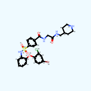 O=C(CNC(=O)c1ccc(S(=O)(=O)Nc2ccccc2Oc2ccc(Br)cc2Cl)cc1)NCC1CCNCC1